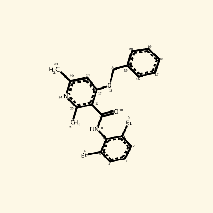 CCc1cccc(CC)c1NC(=O)c1c(OCc2ccccc2)cc(C)nc1C